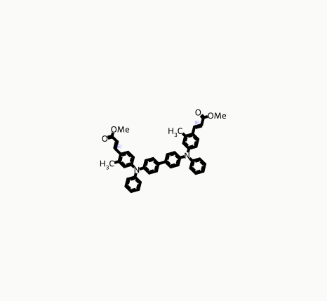 COC(=O)/C=C/c1ccc(N(c2ccccc2)c2ccc(-c3ccc(N(c4ccccc4)c4ccc(/C=C/C(=O)OC)c(C)c4)cc3)cc2)cc1C